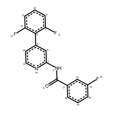 O=C(Nc1cc(-c2c(F)cccc2F)ccn1)c1cccc(F)c1